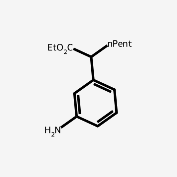 CCCCCC(C(=O)OCC)c1cccc(N)c1